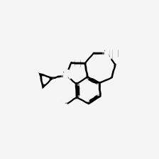 Clc1ccc2c3c1N(C1CC1)C[C@@H]3CNCC2